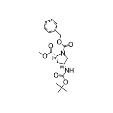 COC(=O)[C@H]1C[C@@H](NC(=O)OC(C)(C)C)CN1C(=O)OCc1ccccc1